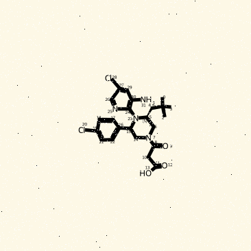 CC(C)(C)C[C@H]1CN(C(=O)CC(=O)O)CC(c2ccc(Cl)cc2)N1c1ncc(Cl)cc1N